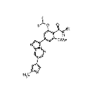 CCNC(=O)c1c(OC)cc(-c2cnc3cc(-c4cnn(C)c4)cnn23)cc1OC(F)F